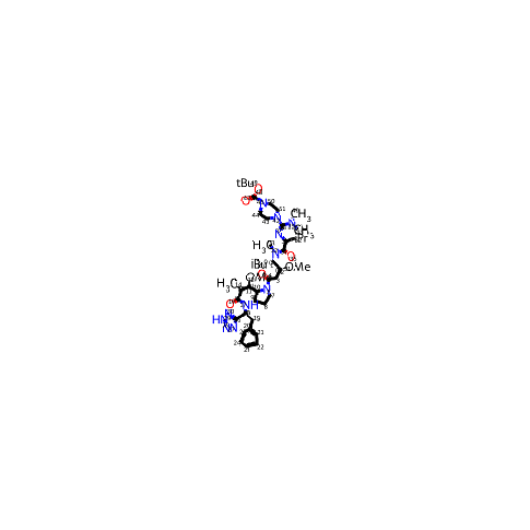 CC[C@H](C)[C@@H]([C@@H](CC(=O)N1CCCC1[C@H](OC)[C@@H](C)C(=O)N[C@@H](Cc1ccccc1)c1nn[nH]n1)OC)N(C)C(=O)C(N=C(N(C)C)N1CCN(C(=O)OC(C)(C)C)CC1)C(C)C